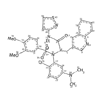 CCN(C(=O)C(Cc1cnc2ccccc2c1)N(c1cc(N(C)C)ccc1Cl)S(=O)(=O)c1ccc(OC)c(OC)c1)c1ccsn1